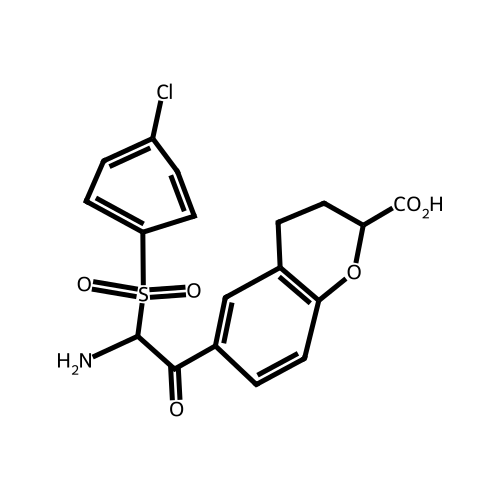 NC(C(=O)c1ccc2c(c1)CCC(C(=O)O)O2)S(=O)(=O)c1ccc(Cl)cc1